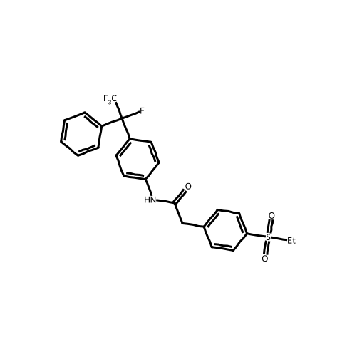 CCS(=O)(=O)c1ccc(CC(=O)Nc2ccc(C(F)(c3ccccc3)C(F)(F)F)cc2)cc1